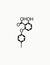 O=C(O)c1c(O)cccc1Oc1ccc(I)cc1